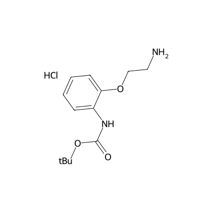 CC(C)(C)OC(=O)Nc1ccccc1OCCN.Cl